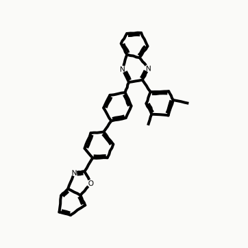 Cc1cc(C)cc(-c2nc3ccccc3nc2-c2ccc(-c3ccc(-c4nc5ccccc5o4)cc3)cc2)c1